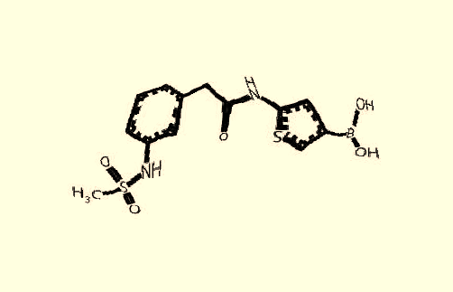 CS(=O)(=O)Nc1cccc(CC(=O)Nc2cc(B(O)O)cs2)c1